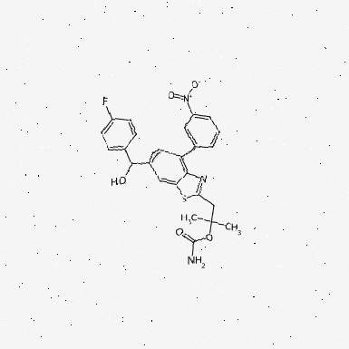 CC(C)(Cc1nc2c(-c3cccc([N+](=O)[O-])c3)cc(C(O)c3ccc(F)cc3)cc2s1)OC(N)=O